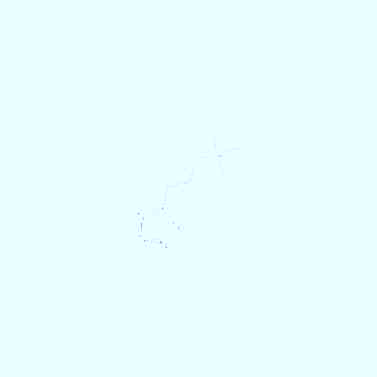 CC(C)(C)[Si](C)(C)OCCc1nnn[nH]1